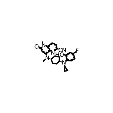 Cn1c(=O)cc(N(C)[C@H]2CC[C@H](N(c3ccc(F)cc3O)C3CC3)CC2)c2nc(C#N)ccc21